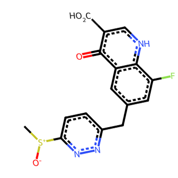 C[S+]([O-])c1ccc(Cc2cc(F)c3[nH]cc(C(=O)O)c(=O)c3c2)nn1